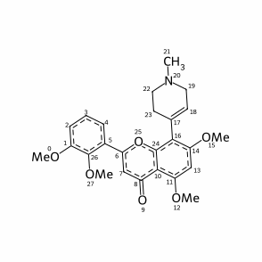 COc1cccc(-c2cc(=O)c3c(OC)cc(OC)c(C4=CCN(C)CC4)c3o2)c1OC